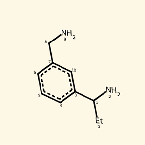 [CH2]CC(N)c1cccc(CN)c1